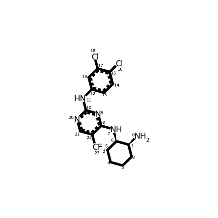 N[C@H]1CCCC[C@H]1Nc1nc(Nc2ccc(Cl)c(Cl)c2)ncc1C(F)(F)F